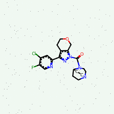 O=C(N1CCN2CCC1CC2)n1nc(-c2cc(Cl)c(F)cn2)c2c1COCC2